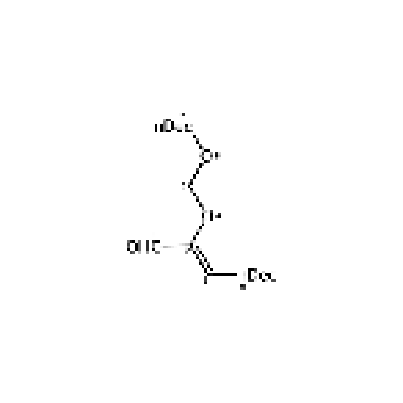 CCCCCCCCCCC=C(C=O)OCOCCCCCCCCCC